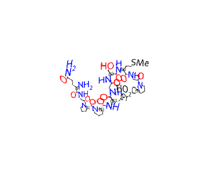 CSCC[C@H](NC(=O)[C@H](CO)NC(=O)CNC(=O)[C@H](CC(C)C)NC(=O)[C@@H]1CCCN1C(=O)[C@@H]1CCCN1C(=O)CNC(=O)[C@@H](N)CCC(N)=O)C(=O)NCC(=O)N1CCC[C@H]1C(=O)O